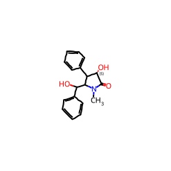 CN1C(=O)[C@@H](O)C(c2ccccc2)C1C(O)c1ccccc1